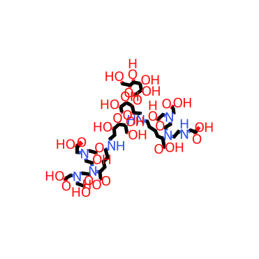 O=C(O)CNCCN(CCN(CC(=O)O)CC(=O)O)C(CCCCNCC1OC(OC(C(O)CO)C(O)CCNCCCCC(C(=O)O)N(CCN(CC(=O)O)CC(=O)O)CCN(CC(=O)O)CC(=O)O)C(O)C(O)C1OC1OC(CO)C(O)C(O)C1O)C(=O)O